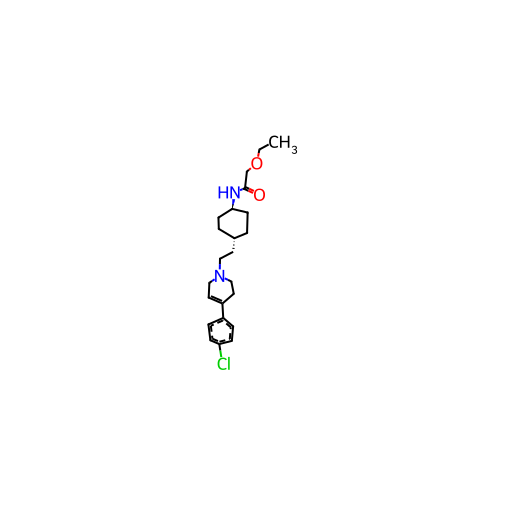 CCOCC(=O)N[C@H]1CC[C@H](CCN2CC=C(c3ccc(Cl)cc3)CC2)CC1